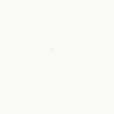 CC(=O)N(C)C.ClCCCl